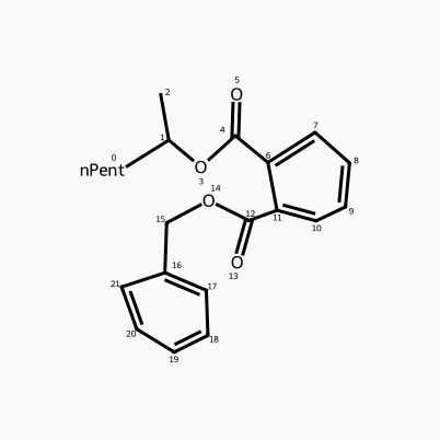 CCCCCC(C)OC(=O)c1ccccc1C(=O)OCc1ccccc1